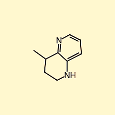 CC1CCNc2cccnc21